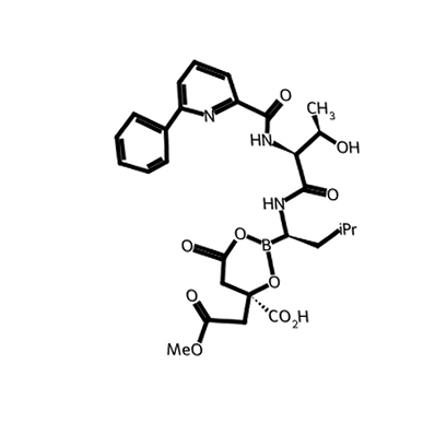 COC(=O)C[C@@]1(C(=O)O)CC(=O)OB([C@H](CC(C)C)NC(=O)[C@@H](NC(=O)c2cccc(-c3ccccc3)n2)[C@@H](C)O)O1